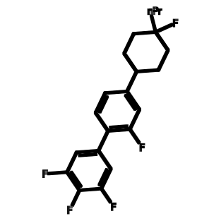 CCCC1(F)CCC(c2ccc(-c3cc(F)c(F)c(F)c3)c(F)c2)CC1